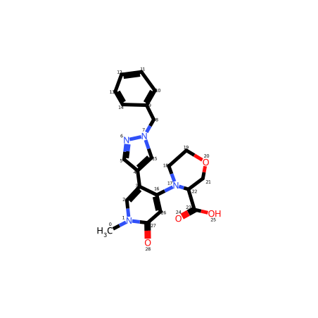 Cn1cc(-c2cnn(Cc3ccccc3)c2)c(N2CCOCC2C(=O)O)cc1=O